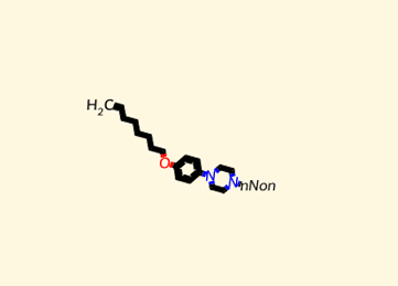 C=CCCCCCCOc1ccc(N2CCN(CCCCCCCCC)CC2)cc1